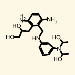 CC(O)N(c1cccc(NCc2c(N)ccc(N)c2CC(O)CO)c1)C(C)O